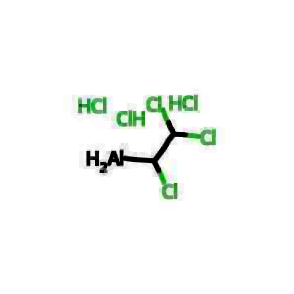 Cl.Cl.Cl.[AlH2][CH](Cl)C(Cl)Cl